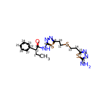 CC[C@H](C(=O)Nc1nnc(CCSCCc2nnc(N)s2)s1)c1ccccc1